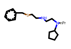 CCCN(CCNCCSCc1ccccc1)C1CCCC1